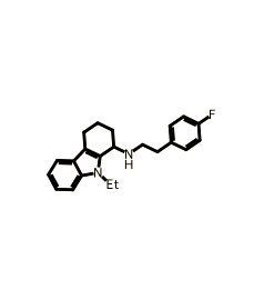 CCn1c2c(c3ccccc31)CCCC2NCCc1ccc(F)cc1